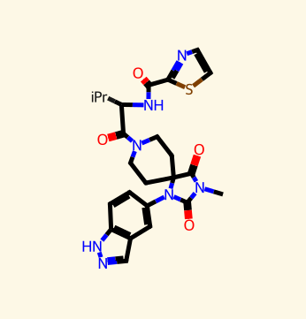 CC(C)C(NC(=O)c1nccs1)C(=O)N1CCC2(CC1)C(=O)N(C)C(=O)N2c1ccc2[nH]ncc2c1